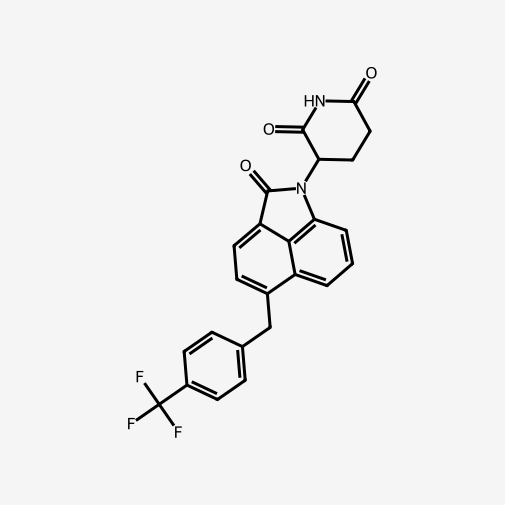 O=C1CCC(N2C(=O)c3ccc(Cc4ccc(C(F)(F)F)cc4)c4cccc2c34)C(=O)N1